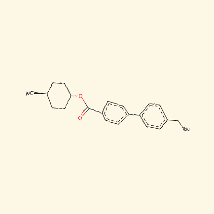 CCC(C)Cc1ccc(-c2ccc(C(=O)O[C@H]3CC[C@H](C#N)CC3)cc2)cc1